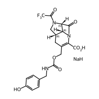 O=C(NCc1ccc(O)cc1)OCC1=C(C(=O)O)N2C(=O)[C@@H]3[C@H]2[C@H](C1)CN3C(=O)C(F)(F)F.[NaH]